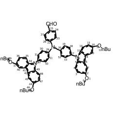 CCCCOc1ccc2c(c1)c1cc(OCCCC)ccc1n2-c1ccc(N(c2ccc(C=O)cc2)c2ccc(-n3c4ccc(OCCCC)cc4c4cc(OCCCC)ccc43)cc2)cc1